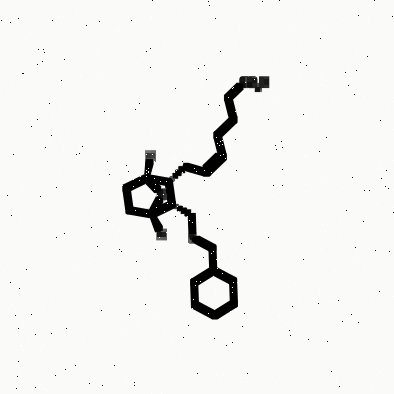 O=C(O)CCC/C=C\C[C@@H]1[C@H](CSCC2CCCCC2)[C@@H]2CC[C@H]1O2